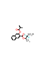 C=C(C)C(=O)Oc1cc2ccccc2cc1C(=O)OC(C(F)(F)F)C(F)(F)S(=O)(=O)O